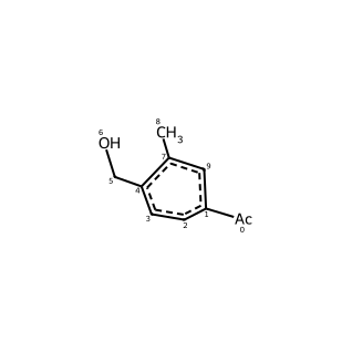 CC(=O)c1ccc(CO)c(C)c1